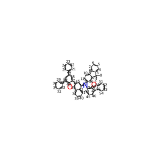 CC1(C)c2ccccc2-c2ccc(N(c3cc4c5cc(-c6ccccc6)cc(-c6ccccc6)c5oc4c4ccccc34)c3cccc4c3oc3ccccc34)cc21